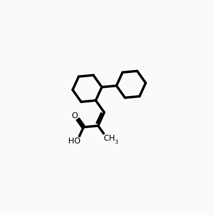 CC(=CC1CCCCC1C1CCCCC1)C(=O)O